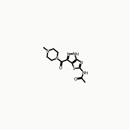 CC(=O)Nc1nc2[nH]nc(C(=O)N3CCN(C)CC3)c2s1